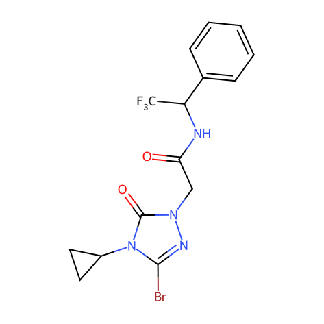 O=C(Cn1nc(Br)n(C2CC2)c1=O)NC(c1ccccc1)C(F)(F)F